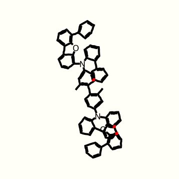 Cc1cc(N(c2ccccc2-c2ccccc2)c2cccc3c2oc2c(-c4ccccc4)cccc23)ccc1-c1ccc(N(c2ccccc2-c2ccccc2)c2cccc3c2oc2c(-c4ccccc4)cccc23)cc1C